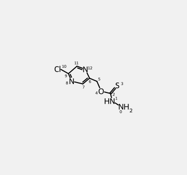 NNC(=S)OCc1cnc(Cl)cn1